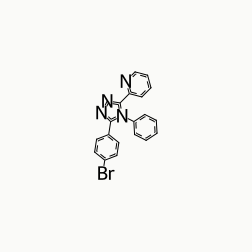 Brc1ccc(-c2nnc(-c3ccccn3)n2-c2ccccc2)cc1